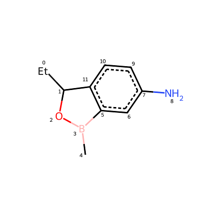 CCC1OB(C)c2cc(N)ccc21